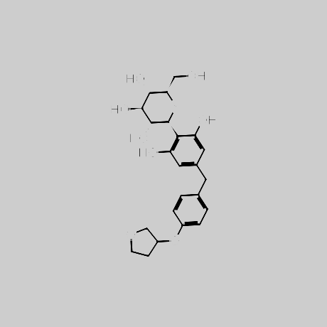 OC[C@H]1S[C@@H](c2c(O)cc(Cc3ccc(OC4CCOC4)cc3)cc2O)[C@H](O)[C@@H](O)[C@@H]1O